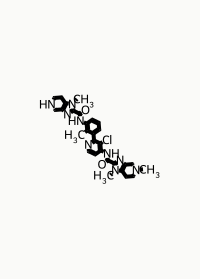 Cc1c(NC(=O)c2nc3c(n2C)CCNC3)cccc1-c1nccc(NC(=O)c2nc3c(n2C)CCN(C)C3)c1Cl